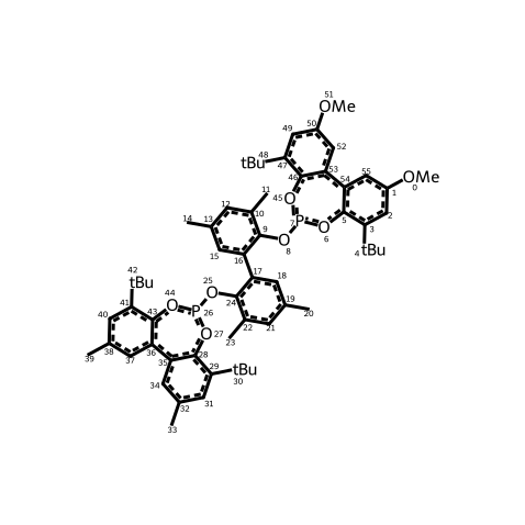 COc1cc(C(C)(C)C)c2op(Oc3c(C)cc(C)cc3-c3cc(C)cc(C)c3Op3oc4c(C(C)(C)C)cc(C)cc4c4cc(C)cc(C(C)(C)C)c4o3)oc3c(C(C)(C)C)cc(OC)cc3c2c1